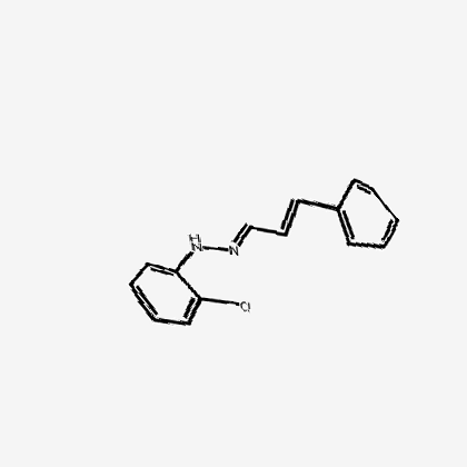 Clc1ccccc1NN=CC=Cc1ccccc1